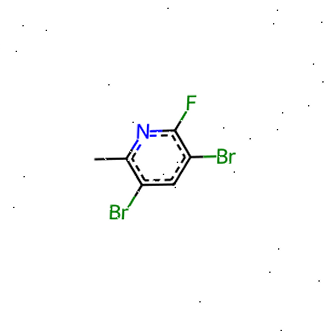 Cc1nc(F)c(Br)cc1Br